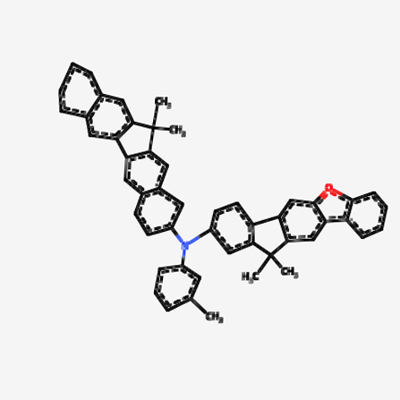 Cc1cccc(N(c2ccc3c(c2)C(C)(C)c2cc4c(cc2-3)oc2ccccc24)c2ccc3cc4c(cc3c2)C(C)(C)c2cc3ccccc3cc2-4)c1